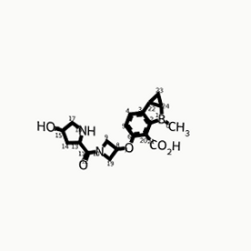 CB1c2c(ccc(OC3CN(C(=O)C4CC(O)CN4)C3)c2C(=O)O)C2CC12